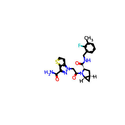 Cc1cccc(CNC(=O)[C@@H]2C[C@H]3C[C@H]3N2C(=O)Cn2nc(C(N)=O)c3sccc32)c1F